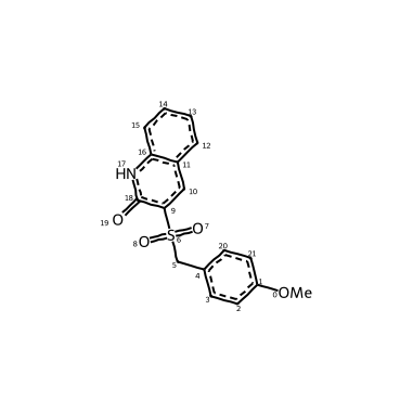 COc1ccc(CS(=O)(=O)c2cc3ccccc3[nH]c2=O)cc1